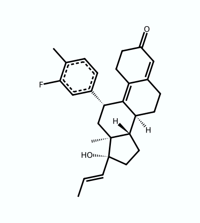 CC=C[C@]1(O)CC[C@H]2[C@@H]3CCC4=CC(=O)CCC4=C3[C@@H](c3ccc(C)c(F)c3)C[C@@]21C